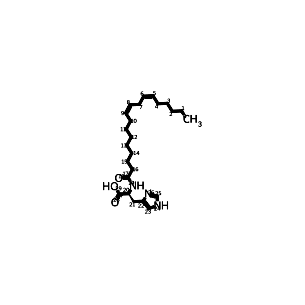 CCCCC/C=C\C/C=C\CCCCCCCC(=O)N[C@@H](Cc1c[nH]cn1)C(=O)O